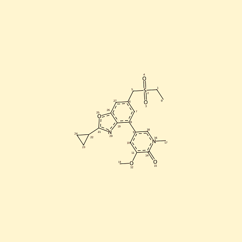 CCS(=O)(=O)Cc1cc(-c2cc(OC)c(=O)n(C)c2)c2nc(C3CC3)oc2c1